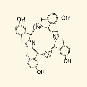 Oc1ccc(I)c(C2=C3C=CC(=N3)C(c3cc(O)ccc3I)=C3C=CC(=N3)C(c3cc(O)ccc3I)=C3C=CC(=N3)C(c3cc(O)ccc3I)=C3C=CC2=N3)c1